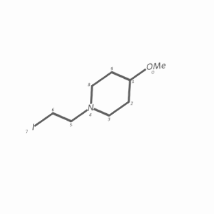 COC1CCN(CCI)CC1